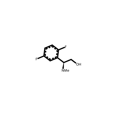 CN[C@H](CO)c1cc(F)ccc1F